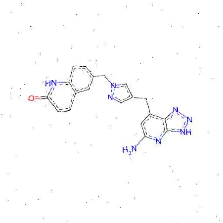 Nc1cc(Cc2cnn(Cc3ccc4[nH]c(=O)ccc4c3)c2)c2nn[nH]c2n1